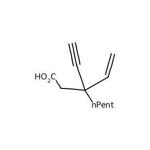 C#CC(C=C)(CCCCC)CC(=O)O